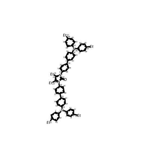 CCc1ccc(N(c2ccc(CC)cc2)c2ccc(-c3ccc(-n4c(CC)c(CC)n(-c5ccc(-c6ccc(N(c7ccc(CC)cc7)c7ccc(CC)cc7)cc6)cc5)c4=O)cc3)cc2)cc1